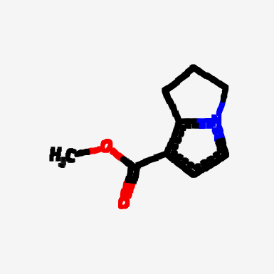 COC(=O)c1ccn2c1CCC2